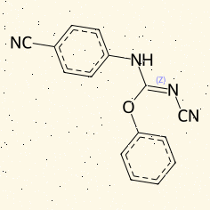 N#C/N=C(/Nc1ccc(C#N)cc1)Oc1ccccc1